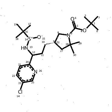 CC(C)(C)OC(=O)N1C[C@@H](CCC(N[S+]([O-])C(C)(C)C)c2ccc(Cl)cn2)CC1(C)C